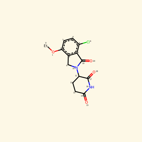 CCOc1ccc(Cl)c2c1CN(C1CCC(=O)NC1=O)C2=O